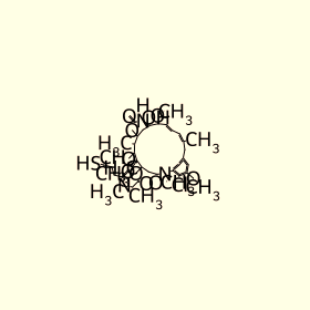 COc1cc2cc(c1Cl)N(C)C(=O)CC(OC(=O)C(C)N(C)C(=O)CCC(C)(C)S)C1(C)OC1C(C)C1CC(O)(NC(=O)O1)C(OC)/C=C/C=C(/C)C2